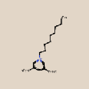 CCCCCCCCCCCCCCCCCC[n+]1cc(CCCCC)cc(CCCCC)c1